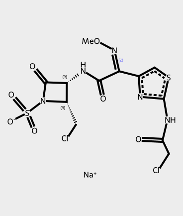 CO/N=C(\C(=O)N[C@H]1C(=O)N(S(=O)(=O)[O-])[C@H]1CCl)c1csc(NC(=O)CCl)n1.[Na+]